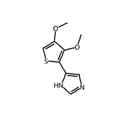 COc1csc(-c2cnc[nH]2)c1OC